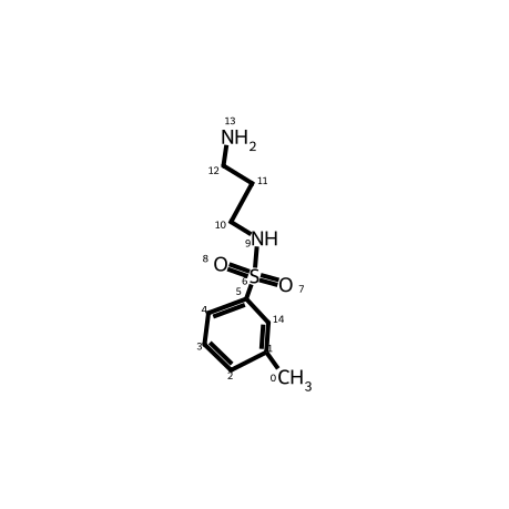 Cc1cccc(S(=O)(=O)NCCCN)c1